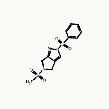 CS(=O)(=O)N1Cc2cn(S(=O)(=O)c3ccccc3)nc2C1